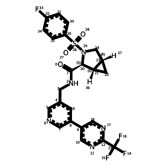 O=C(NCc1cncc(-c2cnc(C(F)(F)F)nc2)c1)[C@@H]1[C@H]2C[C@H]2CN1S(=O)(=O)c1ccc(F)cc1